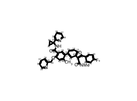 CNC(=O)c1c(-c2ccc(F)cc2)oc2ccc(-c3cc(C(=O)NC4(c5ccccn5)CC4)c(OCc4ccccn4)cc3C)cc12